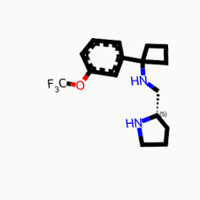 FC(F)(F)Oc1cccc(C2(NC[C@@H]3CCCN3)CCC2)c1